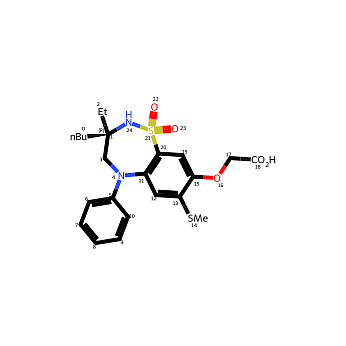 CCCC[C@]1(CC)CN(c2ccccc2)c2cc(SC)c(OCC(=O)O)cc2S(=O)(=O)N1